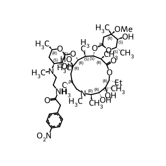 CC[C@H]1OC(=O)[C@H](C)[C@@H](O[C@H]2C[C@@](C)(OC)[C@@H](O)[C@H](C)O2)[C@H](C)[C@@H](O[C@@H]2O[C@H](C)C[C@H](N(C)CCNC(=O)Cc3ccc([N+](=O)[O-])cc3)[C@H]2O)[C@](C)(O)C[C@@H](C)CN(C)[C@H](C)[C@@H](O)[C@]1(C)O